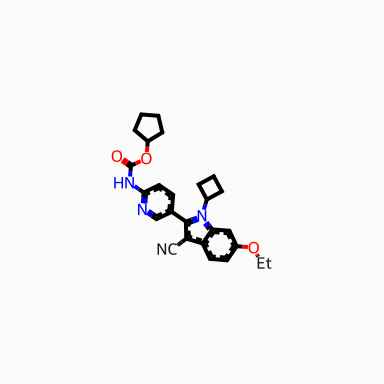 CCOc1ccc2c(C#N)c(-c3ccc(NC(=O)OC4CCCC4)nc3)n(C3CCC3)c2c1